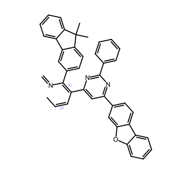 C=N/C(=C(\C=C/C)c1cc(-c2ccc3c(c2)oc2ccccc23)nc(-c2ccccc2)n1)c1ccc2c(c1)-c1ccccc1C2(C)C